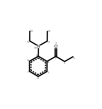 CCC(=O)c1ccccc1N(CC)CC